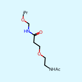 CC(=O)NCCOCCC(=O)NCOC(C)C